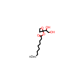 CCCCCCCCCCCCCCCCCC(=O)OC1(C(O)CO)CCO1